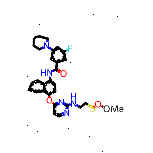 COOSCCNc1nccc(Oc2ccc(NC(=O)c3cc(F)cc(N4CCCCC4)c3)c3ccccc23)n1